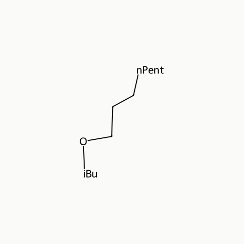 [CH2]CC(C)OCCCCCCCC